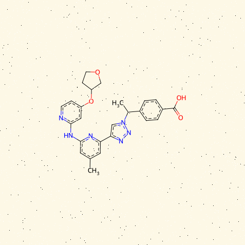 Cc1cc(Nc2cc(OC3CCOC3)ccn2)nc(-c2cn(C(C)c3ccc(C(=O)O)cc3)nn2)c1